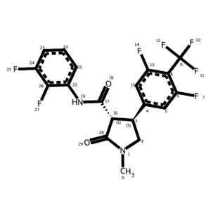 CN1C[C@H](c2cc(F)c(C(F)(F)F)c(F)c2)[C@@H](C(=O)Nc2cccc(F)c2F)C1=O